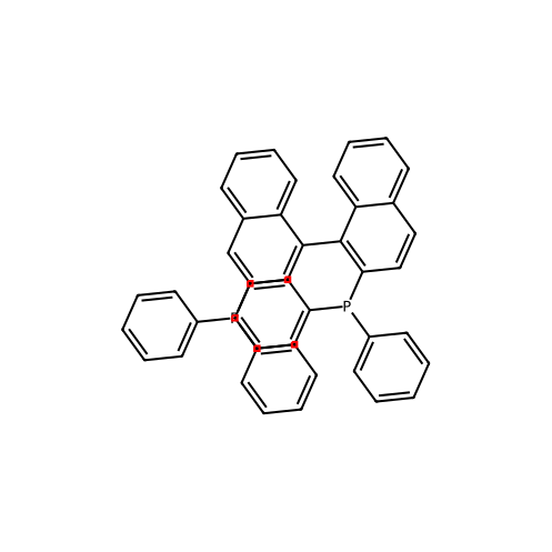 c1ccc(P(c2ccccc2)c2cc(-c3c(P(c4ccccc4)c4ccccc4)ccc4ccccc34)c3ccccc3c2)cc1